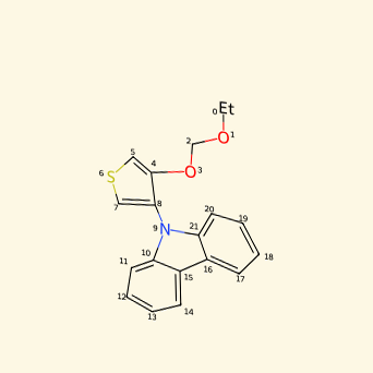 CCOCOc1cscc1-n1c2ccccc2c2ccccc21